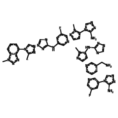 Cn1nccc1-n1cnnc1N.Cn1nccc1NC1=NN=C[N]1.Fc1cncc(NC2=NN=C[N]2)c1.NCc1cccnc1.Nc1nncn1-c1cncc(F)c1.[CH2]c1nncn1-c1cccc2c1nnn2C